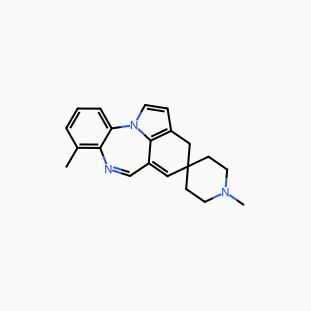 Cc1cccc2c1N=CC1=CC3(CCN(C)CC3)Cc3ccn-2c31